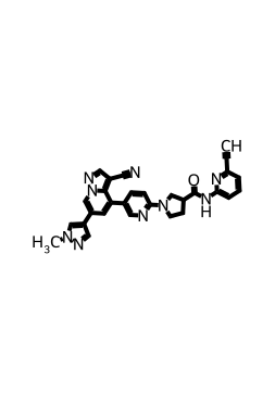 C#Cc1cccc(NC(=O)C2CCN(c3ccc(-c4cc(-c5cnn(C)c5)cn5ncc(C#N)c45)cn3)C2)n1